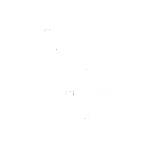 CCC(NC(=O)c1cccc(OC)n1)C(=O)O